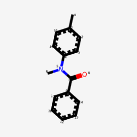 Cc1ccc(N(C)C(=O)c2ccccc2)cc1